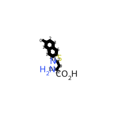 Cc1ccc2cc3sc(C[C@@H](N)C(=O)O)nc3cc2c1